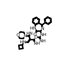 N=C(NC1N=C(c2ccccc2)c2ccccc2NC1=O)OC(=N)/C(=C/NC1CCC1)C(=N)N1CCOCC1